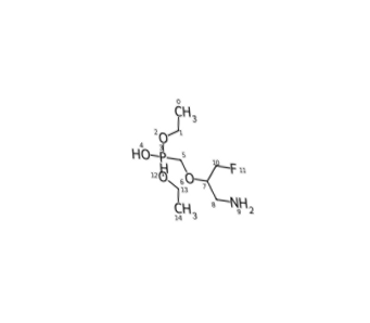 CCO[PH](O)(COC(CN)CF)OCC